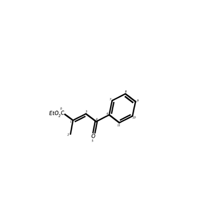 CCOC(=O)C(C)=CC(=O)c1ccccc1